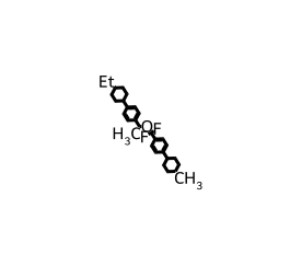 CCC1CCC(c2ccc(C(C)OC(F)(F)c3ccc(C4CCC(C)CC4)cc3)cc2)CC1